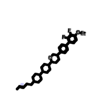 C/C=C/CCC1CCC(C2CCC(C3CCC(c4ccc(-c5ccc(OCC)c(F)c5F)cc4)CO3)CC2)CC1